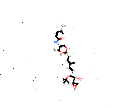 CC(=O)O[C@H](C)/C=C\C(=O)N[C@@H]1CO[C@H](C/C=C(C)/C=C/[C@H]2OC(C)(C)C[C@@]3(CO3)[C@@H]2O)O[C@@H]1C